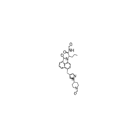 CCCC(C(=O)NC=O)N1C(=O)c2cccc3c(Cc4cnn(C5CCN(C=O)CC5)c4)ccc1c23